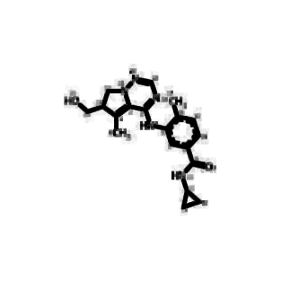 CC1=C2C(Nc3cc(C(=O)NC4CC4)ccc3C)=NC=NN2CC1CO